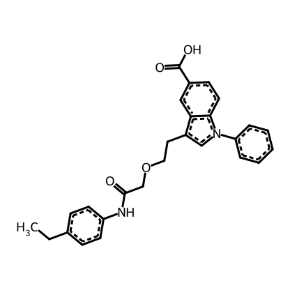 CCc1ccc(NC(=O)COCCc2cn(-c3ccccc3)c3ccc(C(=O)O)cc23)cc1